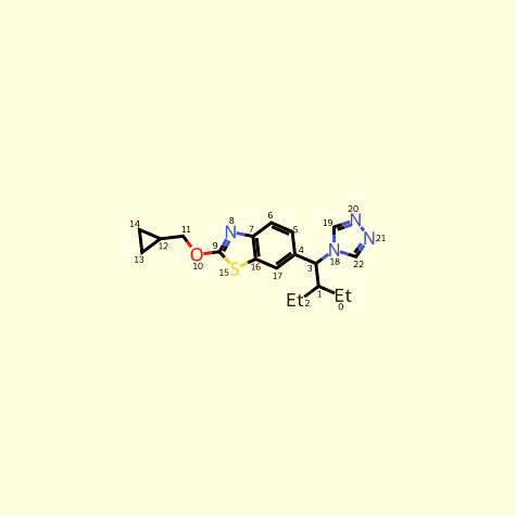 CCC(CC)C(c1ccc2nc(OCC3CC3)sc2c1)n1cnnc1